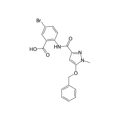 Cn1nc(C(=O)Nc2ccc(Br)cc2C(=O)O)cc1OCc1ccccc1